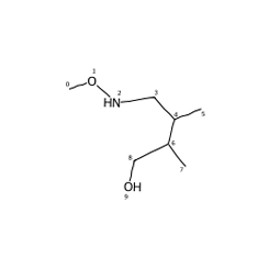 CONCC(C)C(C)CO